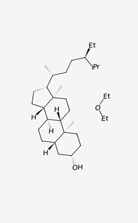 CCOCC.CC[C@H](CC[C@@H](C)[C@H]1CC[C@H]2[C@@H]3CC[C@H]4C[C@@H](O)CC[C@]4(C)[C@H]3CC[C@]12C)C(C)C